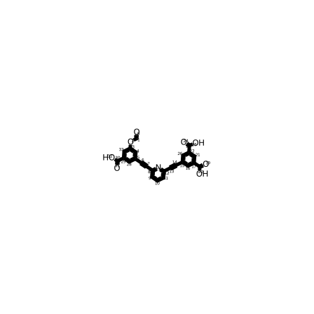 O=COc1cc(C#Cc2cccc(C#Cc3cc(C(=O)O)cc(C(=O)O)c3)n2)cc(C(=O)O)c1